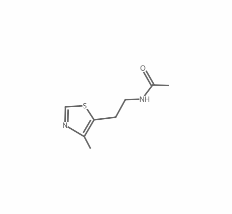 CC(=O)NCCc1scnc1C